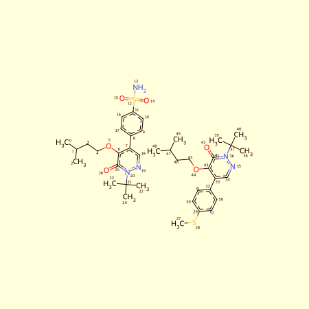 CC(C)CCOc1c(-c2ccc(S(N)(=O)=O)cc2)cnn(C(C)(C)C)c1=O.CSc1ccc(-c2cnn(C(C)(C)C)c(=O)c2OCCC(C)C)cc1